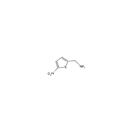 NCc1ccc([N+](=O)[O-])s1